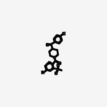 CS(=O)(=O)c1cc(Br)ccc1C(=O)N1CCC(C(=O)c2ccc(Cl)cc2)CC1